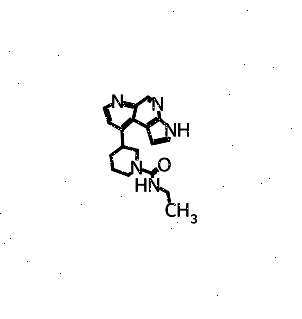 CCNC(=O)N1CCCC(c2ccnc3cnc4[nH]ccc4c23)C1